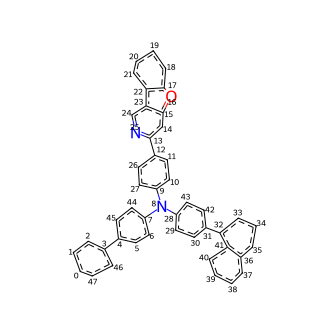 c1ccc(-c2ccc(N(c3ccc(-c4cc5oc6ccccc6c5cn4)cc3)c3ccc(-c4cccc5ccccc45)cc3)cc2)cc1